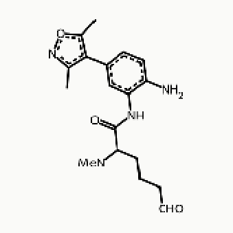 CNC(CCCC=O)C(=O)Nc1cc(-c2c(C)noc2C)ccc1N